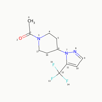 CC(=O)N1CCC(n2nccc2C(F)(F)F)CC1